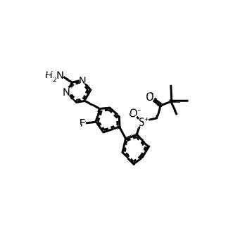 CC(C)(C)C(=O)C[S+]([O-])c1ccccc1-c1ccc(-c2cnc(N)nc2)c(F)c1